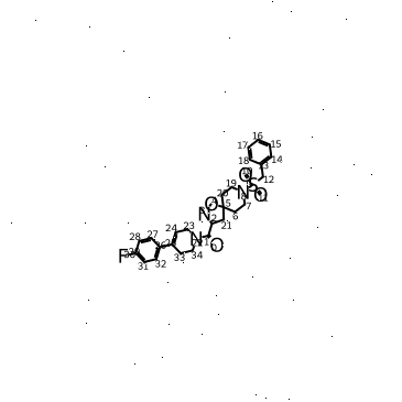 O=C(C1=NOC2(CCN(S(=O)(=O)Cc3ccccc3)CC2)C1)N1CC=C(c2ccc(F)cc2)CC1